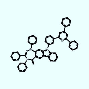 C=C1c2cc3c4ccccc4n(-c4cccc(-c5cc(-c6ccccc6)cc(-c6ccccc6)n5)c4)c3cc2N(c2ccccc2)N=C(c2ccccc2)N1c1ccccc1